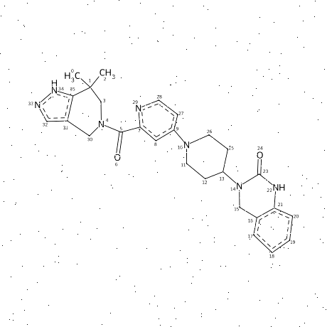 CC1(C)CN(C(=O)c2cc(N3CCC(N4Cc5ccccc5NC4=O)CC3)ccn2)Cc2cn[nH]c21